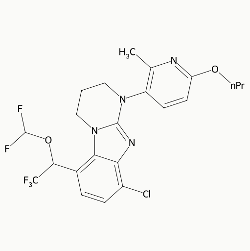 CCCOc1ccc(N2CCCn3c2nc2c(Cl)ccc(C(OC(F)F)C(F)(F)F)c23)c(C)n1